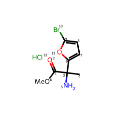 COC(=O)C(C)(N)c1ccc(Br)o1.Cl